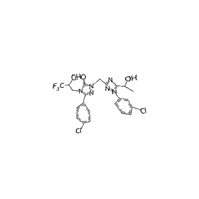 CC(O)c1nc(Cn2nc(-c3ccc(Cl)cc3)n(CC(O)C(F)(F)F)c2=O)nn1-c1cccc(Cl)c1